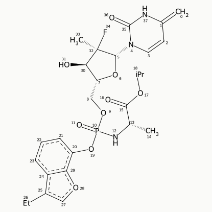 C=C1C=CN([C@@H]2O[C@H](COP(=O)(N[C@@H](C)C(=O)OC(C)C)Oc3cccc4c(CC)coc34)[C@@H](O)[C@@]2(C)F)C(=O)N1